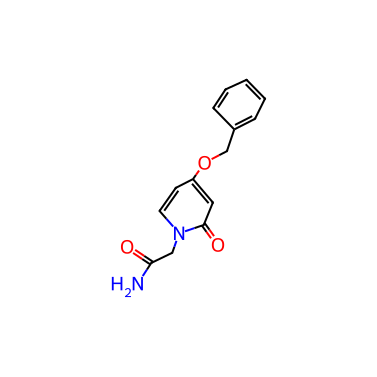 NC(=O)Cn1ccc(OCc2ccccc2)cc1=O